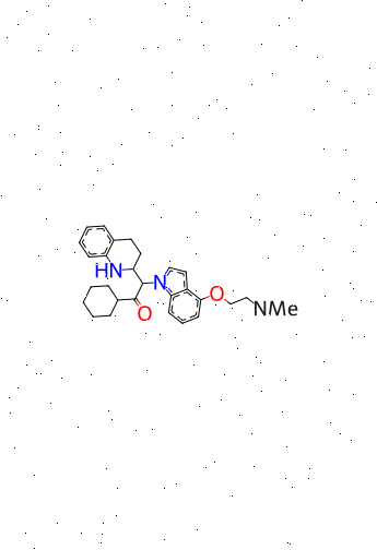 CNCCOc1cccc2c1ccn2C(C(=O)C1CCCCC1)C1CCc2ccccc2N1